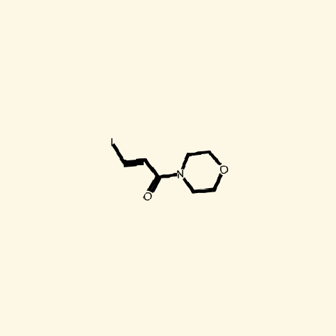 O=C(/C=C/I)N1CCOCC1